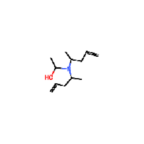 C=CCC(C)N(C(C)O)C(C)CC=C